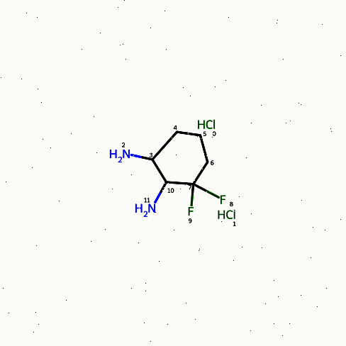 Cl.Cl.NC1CCCC(F)(F)C1N